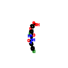 O=C(NCCNC(=O)N1CCC(c2ccc(Cl)cc2)CC1)c1ccc(O[C@H]2CC[C@@H](C(=O)O)CC2)cc1F